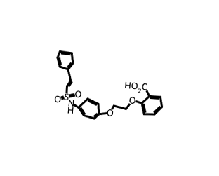 O=C(O)c1ccccc1OCCOc1ccc(NS(=O)(=O)C=Cc2ccccc2)cc1